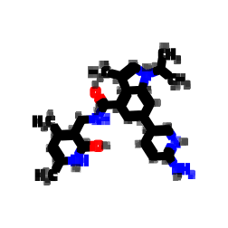 Cc1cc(C)c(CNC(=O)c2cc(-c3ccc(N)nc3)cc3c2c(C)cn3C(C)C)c(=O)[nH]1